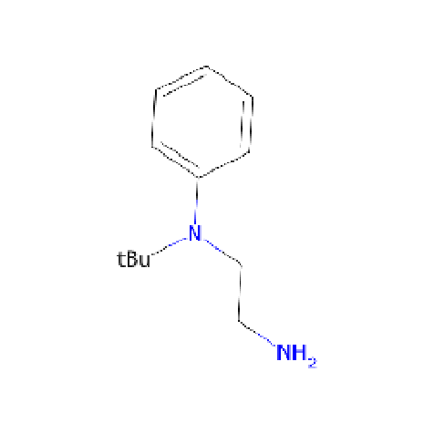 CC(C)(C)N(CCN)c1ccccc1